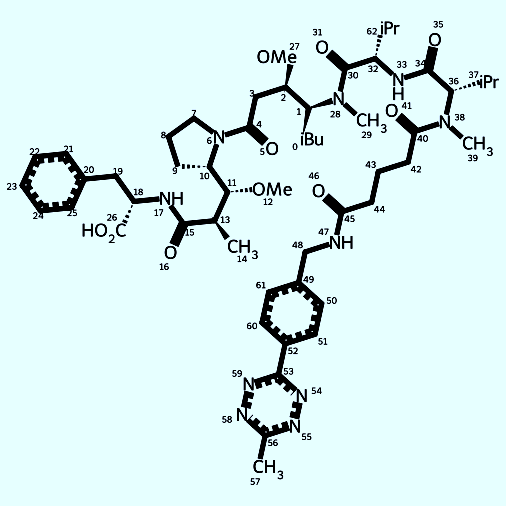 CC[C@H](C)[C@@H]([C@@H](CC(=O)N1CCC[C@H]1[C@H](OC)[C@@H](C)C(=O)N[C@@H](Cc1ccccc1)C(=O)O)OC)N(C)C(=O)[C@@H](NC(=O)[C@H](C(C)C)N(C)C(=O)CCCC(=O)NCc1ccc(-c2nnc(C)nn2)cc1)C(C)C